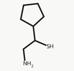 NCC(S)C1CCCC1